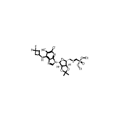 CCOP(=O)(CSC[C@H]1O[C@@H](n2cnc3c(NC4CC(F)(F)C4)c(C#N)c(Cl)nc32)[C@@H]2OC(C)(C)O[C@@H]21)OCC